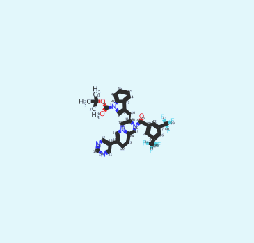 CC(C)(C)OC(=O)n1cc(C[C@@H]2CN3C=C(c4cncnc4)CCC3CN2C(=O)c2cc(C(F)(F)F)cc(C(F)(F)F)c2)c2ccccc21